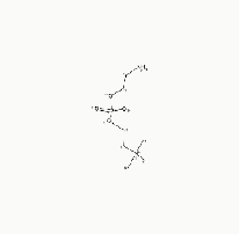 C[N+](C)(C)CCOP(=O)([O-])OCCN